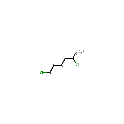 O=C(O)C(Cl)CCCCCl